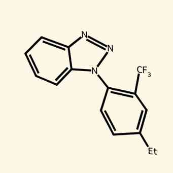 CCc1ccc(-n2nnc3ccccc32)c(C(F)(F)F)c1